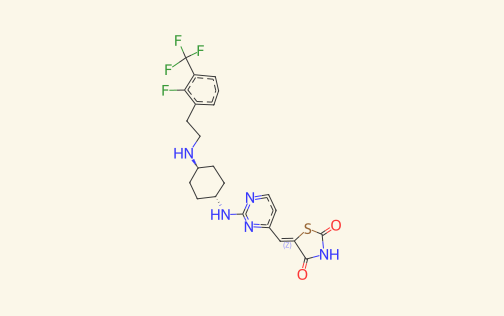 O=C1NC(=O)/C(=C/c2ccnc(N[C@H]3CC[C@H](NCCc4cccc(C(F)(F)F)c4F)CC3)n2)S1